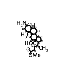 COC(=O)CC[C@H](C)C1CCC2C3CC[C@@H]4C[C@@H](N)CC[C@]4(C)C3C[C@H](O)[C@@]21C